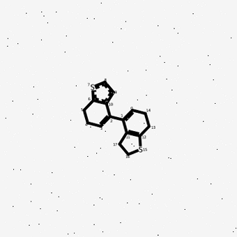 C1=C(C2=CCCc3sccc32)C2=C(CC1)SCC2